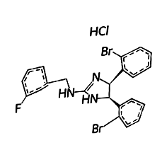 Cl.Fc1cccc(CNC2=N[C@@H](c3ccccc3Br)[C@@H](c3ccccc3Br)N2)c1